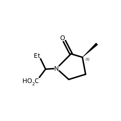 CCC(C(=O)O)N1CC[C@H](C)C1=O